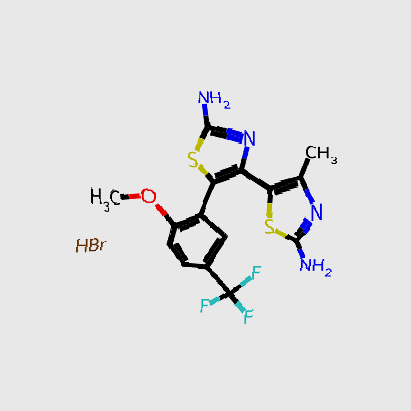 Br.COc1ccc(C(F)(F)F)cc1-c1sc(N)nc1-c1sc(N)nc1C